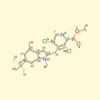 CCOC(=O)c1ncc(Cl)c(Cc2cc3c(C)cc(C(C)(F)F)cc3n2C)c1Cl